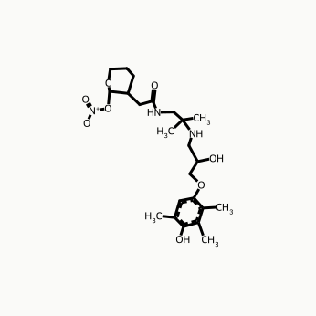 Cc1cc(OCC(O)CNC(C)(C)CNC(=O)CC2CCCCC2O[N+](=O)[O-])c(C)c(C)c1O